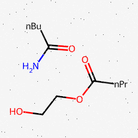 CCCC(=O)OCCO.CCCCC(N)=O